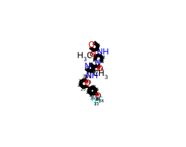 CO[C@@H]1COCC[C@@H]1NC1CCN(C(=O)c2cncc(NC[C@H]3CCC[C@@H](c4ccc(OC(F)(F)F)cc4)O3)c2C)CC1